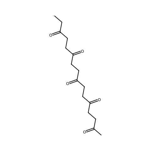 [CH2]CC(=O)CCC(=O)CCC(=O)CCC(=O)CCC(C)=O